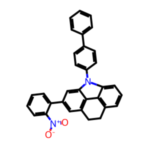 O=[N+]([O-])c1ccccc1-c1cc2c3c4c(cccc4n(-c4ccc(-c5ccccc5)cc4)c3c1)CC2